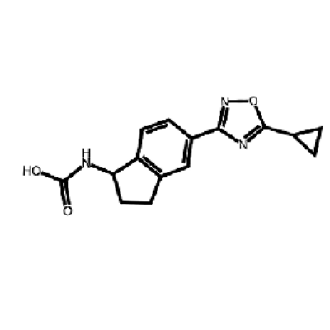 O=C(O)NC1CCc2cc(-c3noc(C4CC4)n3)ccc21